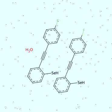 Fc1ccc(C#Cc2ccccc2[SeH])cc1.Fc1ccc(C#Cc2ccccc2[SeH])cc1.O